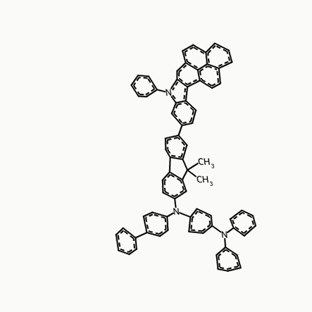 CC1(C)c2cc(-c3ccc4c5c6ccc7cccc8ccc(cc5n(-c5ccccc5)c4c3)c6c87)ccc2-c2ccc(N(c3ccc(-c4ccccc4)cc3)c3ccc(N(c4ccccc4)c4ccccc4)cc3)cc21